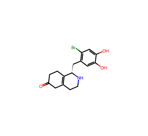 O=C1CCC2=C(CCN[C@H]2Cc2cc(O)c(O)cc2Br)C1